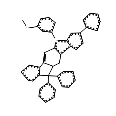 NNc1cccc(-n2c3c(c4ccc(-c5ccccc5)cc42)CC2C(=C3)c3ccccc3C2(c2ccccc2)c2ccccc2)c1